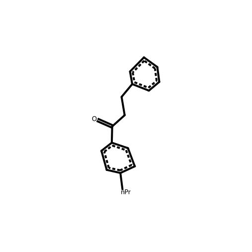 CCCc1ccc(C(=O)CCc2ccccc2)cc1